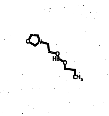 CCCOBOCCN1CCOC1